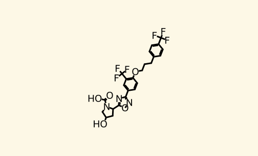 O=C(O)N1CC(O)CC1c1nc(-c2ccc(OCCCc3ccc(C(F)(F)F)cc3)c(C(F)(F)F)c2)no1